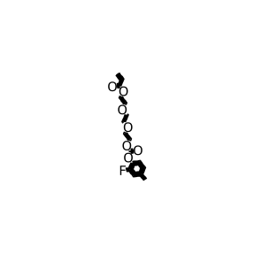 C=CC(=O)OCCOCCOCCOC(=O)Oc1ccc(C)cc1F